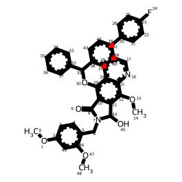 COc1ccc(CN2C(=O)c3c(c(OC)c4ncc(Cc5ccc(F)cc5)cc4c3OC(c3ccccc3)c3ccccc3)C2O)c(OC)c1